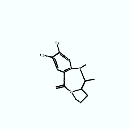 C=C1c2cc(CC)c(CC)cc2N(C)C(C)C2CCCN12